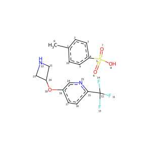 Cc1ccc(S(=O)(=O)O)cc1.FC(F)(F)c1ccc(OC2CNC2)cn1